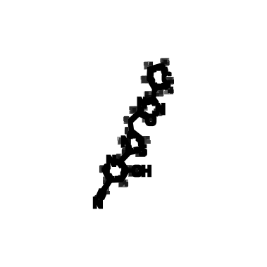 N#Cc1cnc(-c2nc(Cc3nc(-c4ccccc4)no3)cs2)c(O)c1